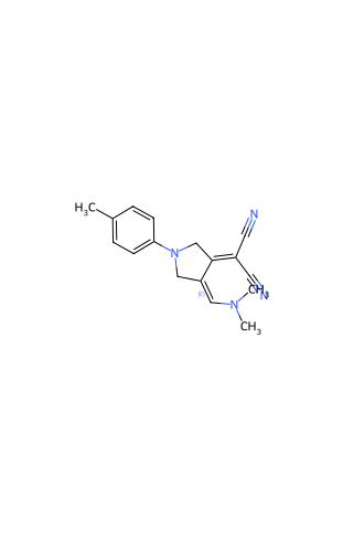 Cc1ccc(N2CC(=C(C#N)C#N)/C(=C\N(C)C)C2)cc1